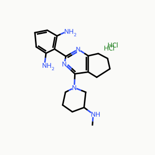 CNC1CCCN(c2nc(-c3c(N)cccc3N)nc3c2CCCC3)C1.Cl.Cl